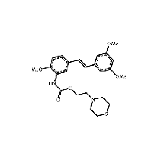 COc1cc(C=Cc2ccc(OC)c(NC(=O)OCCN3CCOCC3)c2)cc(OC)c1